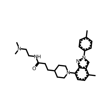 Cc1ccc(-n2cc3c(C)ccc(N4CCC(CCC(=O)NCCN(C)C)CC4)c3n2)cc1